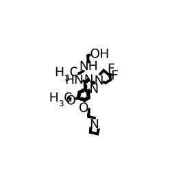 COc1cc2c(NC(C)CNCCO)nc(N3CCC(F)(F)CC3)nc2cc1OCCCN1CCCC1